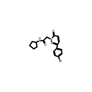 O=C(Cn1nc(-c2ccc(Br)cc2)ccc1=O)NC1CCCC1